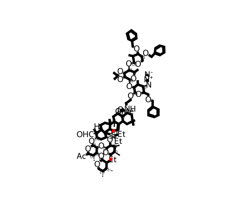 CCC1O[C@@H](OC2[C@H](O[C@H]3CCC4(C)C5CC=C6C7CC(C)(C)CC[C@]7(C(=O)NCCO[C@@H]7OC(COCc8ccccc8)[C@H](N=[N+]=[N-])C(C)C7O[C@@H]7OC(C)[C@H](O[C@@H]8OC[C@@H](OCc9ccccc9)C(OCc9ccccc9)C8C)C8OC(C)(C)OC87)[C@@H](OC)C[C@@]6(C)C5(C)CC[C@H]4[C@@]3(C)C=O)OC(C(C)=O)[C@@H](C)[C@@H]2O[C@@H]2OC[C@@H](C)[C@@H](C)C2C)C(O[Si](CC)(CC)CC)[C@@H](C)[C@H]1C